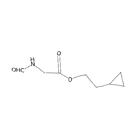 O=CNCC(=O)OCCC1CC1